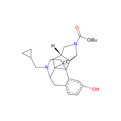 CC(C)COC(=O)N1C[C@H]2CC34CCC1C2C31CCN(CC2CC2)C4Cc2ccc(O)cc21